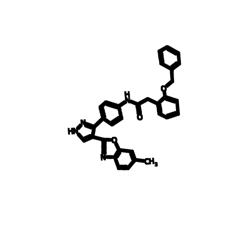 Cc1ccc2nc(-c3c[nH]nc3-c3ccc(NC(=O)Cc4ccccc4OCc4ccccc4)cc3)oc2c1